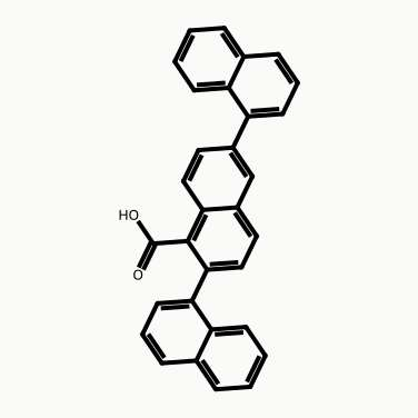 O=C(O)c1c(-c2cccc3ccccc23)ccc2cc(-c3cccc4ccccc34)ccc12